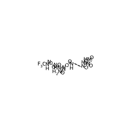 NC(=O)c1nn(-c2ccc(C(=O)NCC#CC#CCNc3cccc4c3C(=O)N(C3CCC(=O)NC3=O)C4=O)cc2)cc1NC(=O)c1coc(-c2ccnc(NCC(F)(F)F)c2)n1